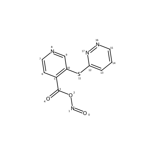 O=NOC(=O)c1ccncc1Sc1cccnn1